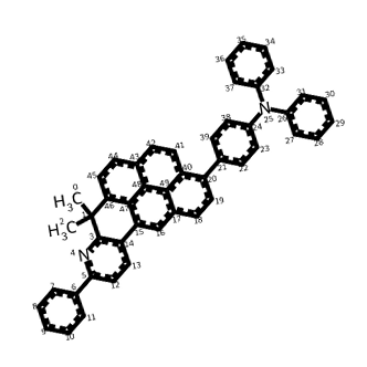 CC1(C)c2nc(-c3ccccc3)ccc2-c2cc3ccc(-c4ccc(N(c5ccccc5)c5ccccc5)cc4)c4ccc5ccc1c2c5c34